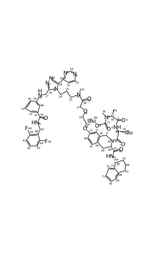 C[C@@H](C(=O)N[C@H](C(=O)N1Cc2cc(OCCOCC(=O)N(C)CCCn3c(CNc4cccc(C(=O)NCc5c(F)cccc5F)c4)nnc3-c3ccncn3)ccc2CC1C(=O)N[C@@H]1CCCc2ccccc21)C(C)(C)C)N(C)C(=O)OC(C)(C)C